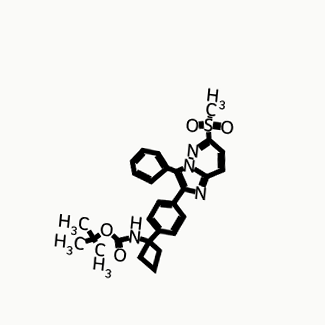 CC(C)(C)OC(=O)NC1(c2ccc(-c3nc4ccc(S(C)(=O)=O)nn4c3-c3ccccc3)cc2)CCC1